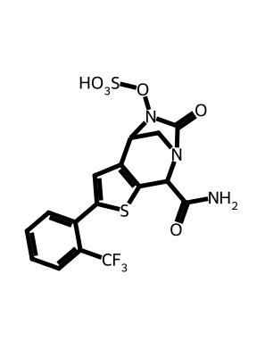 NC(=O)C1c2sc(-c3ccccc3C(F)(F)F)cc2C2CN1C(=O)N2OS(=O)(=O)O